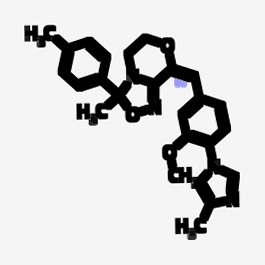 COc1cc(/C=C2/OCCN3C2=NOC3(C)c2ccc(C)cc2)ccc1-n1cnc(C)c1